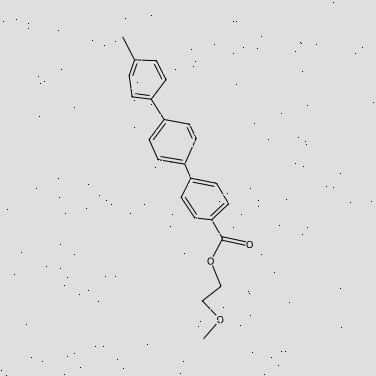 COCCOC(=O)c1ccc(-c2ccc(-c3ccc(C)cc3)cc2)cc1